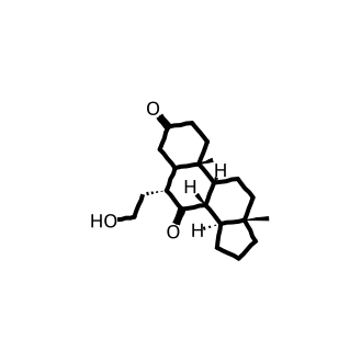 C[C@@]12CCC[C@H]1[C@@H]1C(=O)[C@H](CCO)C3CC(=O)CC[C@]3(C)[C@H]1CC2